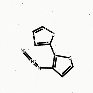 [N-]=[N+]=Nc1ccsc1-c1cccs1